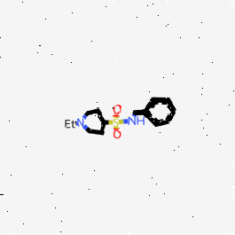 CCN1CCC(S(=O)(=O)NCc2ccccc2)CC1